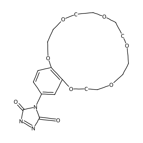 O=C1N=NC(=O)N1c1ccc2c(c1)OCCOCCOCCOCCOCCO2